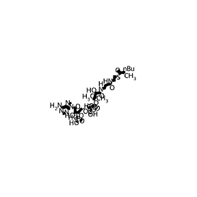 CCCCC(C)C(=O)SCCNC(=O)CCNC(=O)[C@H](O)C(C)(C)COP(=O)(O)OP(=O)(O)OC[C@H]1O[C@@H](n2cnc3c(N)ncnc32)[C@H](O)[C@@H]1OP(=O)(O)O